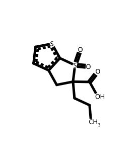 CCCC1(C(=O)O)Cc2ccsc2S1(=O)=O